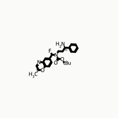 C[C@@H]1C=Nc2cc(C(F)N(CC[C@@H](N)c3ccccc3)C(=O)OC(C)(C)C)ccc2O1